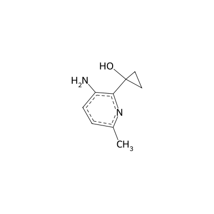 Cc1ccc(N)c(C2(O)CC2)n1